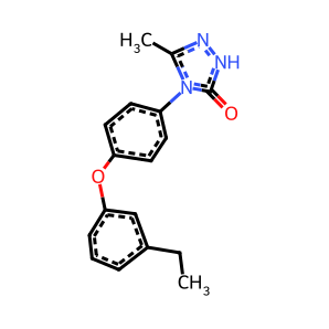 CCc1cccc(Oc2ccc(-n3c(C)n[nH]c3=O)cc2)c1